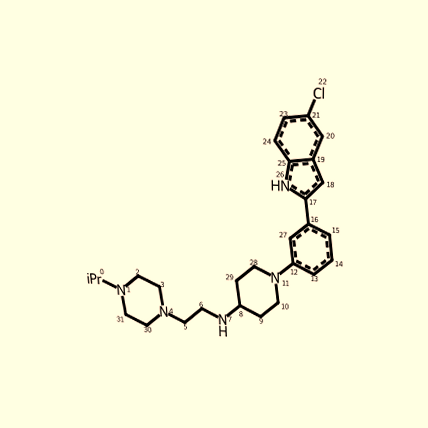 CC(C)N1CCN(CCNC2CCN(c3cccc(-c4cc5cc(Cl)ccc5[nH]4)c3)CC2)CC1